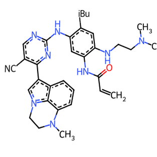 C=CC(=O)Nc1cc(Nc2ncc(C#N)c(-c3cn4c5c(cccc35)N(C)CC4)n2)c(C(C)CC)cc1NCCN(C)C